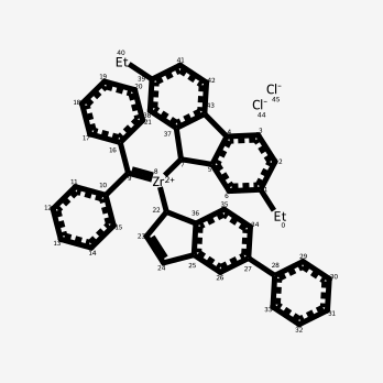 CCc1ccc2c(c1)[CH]([Zr+2](=[C](c1ccccc1)c1ccccc1)[CH]1C=Cc3cc(-c4ccccc4)ccc31)c1cc(CC)ccc1-2.[Cl-].[Cl-]